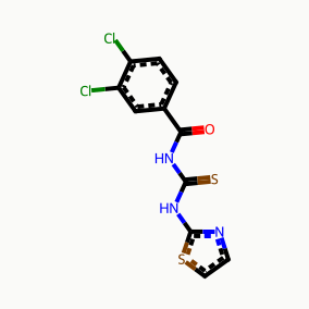 O=C(NC(=S)Nc1nccs1)c1ccc(Cl)c(Cl)c1